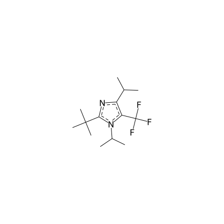 CC(C)c1nc(C(C)(C)C)n(C(C)C)c1C(F)(F)F